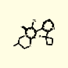 CCC1(c2ncccc2-c2nc3n(c(=O)c2C#N)CC(C)CS3)CCC1